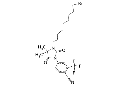 CC1(C)C(=O)N(c2ccc(C#N)c(C(F)(F)F)c2)C(=O)N1CCCCCCCCCBr